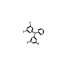 Fc1cc(F)cc(N(c2ccccc2)c2cc(F)cc(F)c2)c1